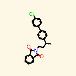 CC(CCN1C(=O)c2ccccc2C1=O)c1ccc(-c2ccc(Cl)cc2)cc1